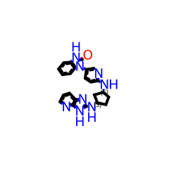 O=c1[nH]c2ccccc2n1-c1ccc(N[C@H]2CC[C@H](Nc3nc4cccnc4[nH]3)C2)nc1